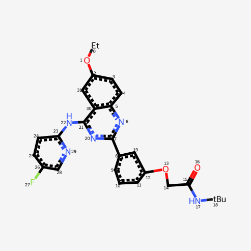 CCOc1ccc2nc(-c3cccc(OCC(=O)NC(C)(C)C)c3)nc(Nc3ccc(F)cn3)c2c1